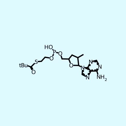 CC1CC(COP(O)OCCSC(=O)C(C)(C)C)OC1n1cnc2c(N)ncnc21